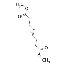 COC(=O)CC/C=C/CCC(=O)OC